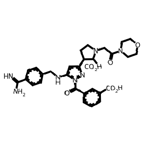 N=C(N)c1ccc(CNc2cc(C3CCN(CC(=O)N4CCOCC4)C3C(=O)O)nn2C(=O)c2cccc(C(=O)O)c2)cc1